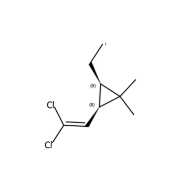 [CH]C[C@@H]1[C@H](C=C(Cl)Cl)C1(C)C